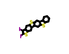 Ic1sc2cc3c(cc2c1I)sc1cc2c(cc13)sc1ccccc12